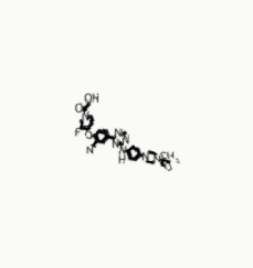 CC1(N2CCN(c3ccc(Nc4ncnc(-c5ccc(OC6CCN(C(=O)CO)CC6F)c(C#N)c5)n4)cc3)CC2)COC1